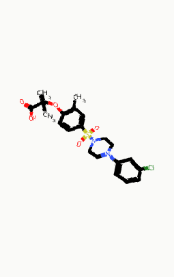 Cc1cc(S(=O)(=O)N2CCN(c3cccc(Cl)c3)CC2)ccc1OC(C)(C)C(=O)O